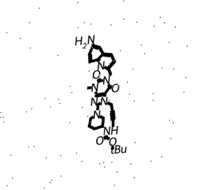 CC#CCn1c(N2CCC[C@@H](NC(=O)OC(C)(C)C)C2)nc2c1c(=O)n(Cc1ccc3cc(N)ccc3n1)c(=O)n2C